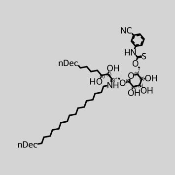 CCCCCCCCCCCCCCCCCCCCCCCCCCN[C@@H](CO[C@H]1O[C@H](COC(=S)Nc2cccc(C#N)c2)[C@H](O)[C@H](O)[C@H]1O)[C@H](O)[C@H](O)CCCCCCCCCCCCCC